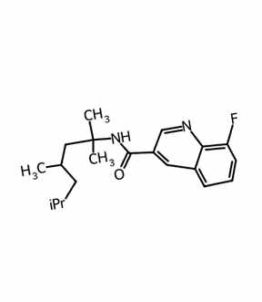 CC(C)CC(C)CC(C)(C)NC(=O)c1cnc2c(F)cccc2c1